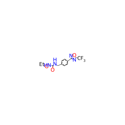 CCONC(=O)NCc1ccc(-c2noc(C(F)(F)F)n2)cc1